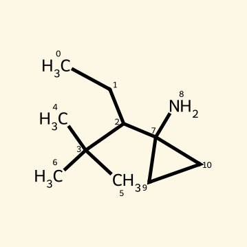 CCC(C(C)(C)C)C1(N)CC1